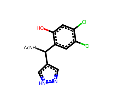 CC(=O)NC(c1cn[nH]c1)c1cc(Cl)c(Cl)cc1O